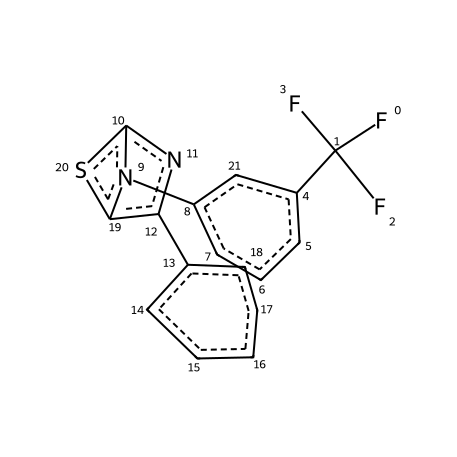 FC(F)(F)c1cccc(-n2c3nc(-c4ccccc4)c2s3)c1